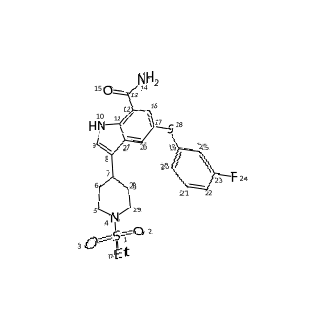 CCS(=O)(=O)N1CCC(c2c[nH]c3c(C(N)=O)cc(Sc4cccc(F)c4)cc23)CC1